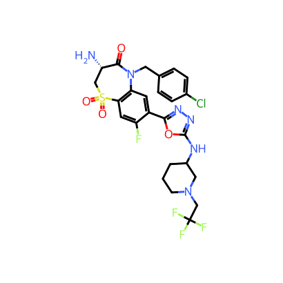 N[C@H]1CS(=O)(=O)c2cc(F)c(-c3nnc(NC4CCCN(CC(F)(F)F)C4)o3)cc2N(Cc2ccc(Cl)cc2)C1=O